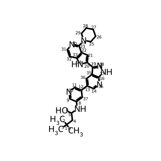 CC(C)(C)CC(O)Nc1cncc(-c2cnc3[nH]nc(-c4cc5c(N6CCCCC6)nccc5[nH]4)c3c2)c1